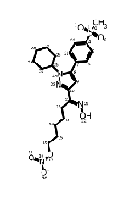 CS(=O)(=O)c1ccc(-c2cc(C(CCCCCO[N+](=O)[O-])=NO)nn2C2CCCCC2)cc1